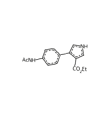 CCOC(=O)c1c[nH]cc1-c1ccc(NC(C)=O)cc1